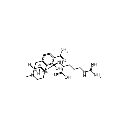 CN1CC[C@]23C[C@H](NC(CCCNC(=N)N)C(=O)O)CC[C@H]2[C@H]1Cc1ccc(C(N)=O)c(O)c13